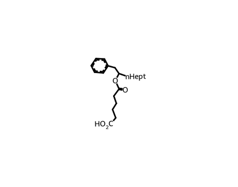 CCCCCCCC(Cc1ccccc1)OC(=O)CCCCC(=O)O